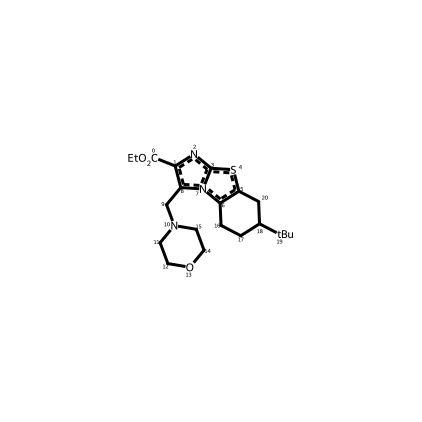 CCOC(=O)c1nc2sc3c(n2c1CN1CCOCC1)CCC(C(C)(C)C)C3